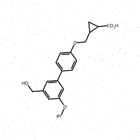 CC(C)Oc1cc(CO)cc(-c2ccc(OCC3CC3C(=O)O)cc2)c1